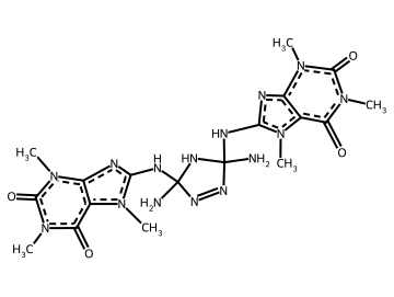 Cn1c(=O)c2c(nc(NC3(N)N=NC(N)(Nc4nc5c(c(=O)n(C)c(=O)n5C)n4C)N3)n2C)n(C)c1=O